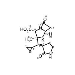 C[C@@]1(C(=C2CCNC2=O)C2CC2)S[C@@H]2CC(=O)N2[C@H]1C(=O)O